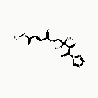 COC(=O)/C=C/C(=O)OCC(C)(C)C(=O)C(=O)n1cncn1